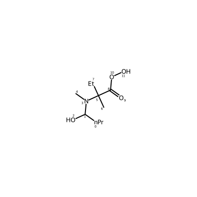 CCCC(O)N(C)C(C)(CC)C(=O)OO